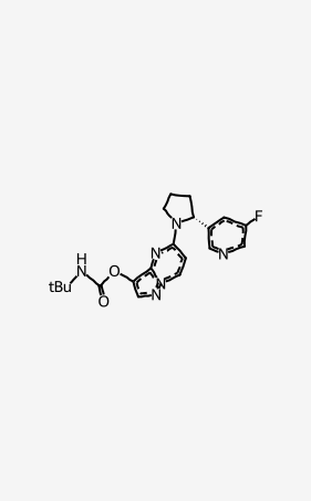 CC(C)(C)NC(=O)Oc1cnn2ccc(N3CCC[C@@H]3c3cncc(F)c3)nc12